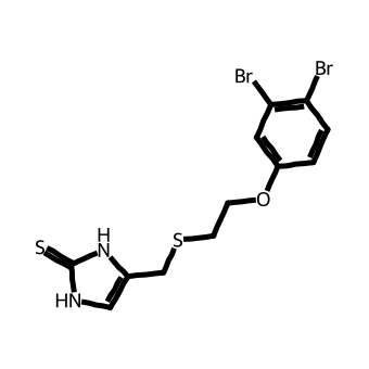 S=c1[nH]cc(CSCCOc2ccc(Br)c(Br)c2)[nH]1